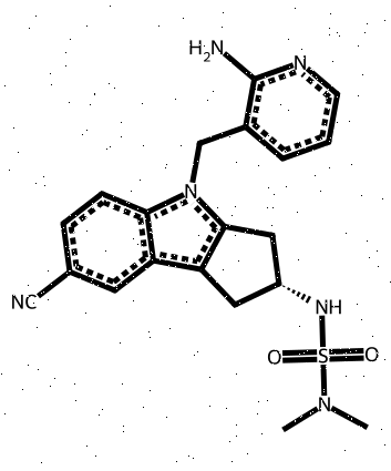 CN(C)S(=O)(=O)N[C@@H]1Cc2c(n(Cc3cccnc3N)c3ccc(C#N)cc23)C1